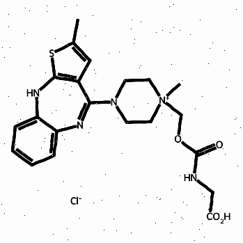 Cc1cc2c(s1)Nc1ccccc1N=C2N1CC[N+](C)(COC(=O)NCC(=O)O)CC1.[Cl-]